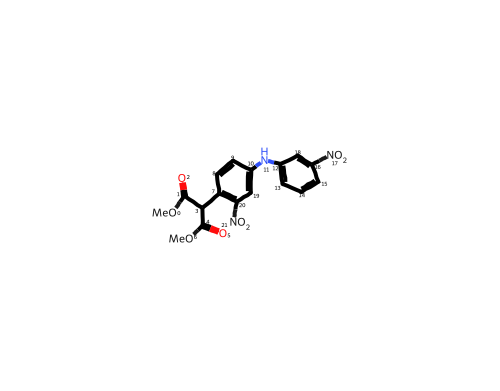 COC(=O)C(C(=O)OC)c1ccc(Nc2cccc([N+](=O)[O-])c2)cc1[N+](=O)[O-]